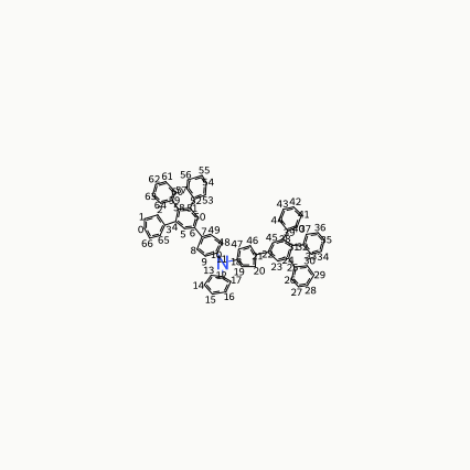 c1ccc(-c2cc(-c3ccc(N(c4ccccc4)c4ccc(-c5cc(-c6ccccc6)c(-c6ccccc6)c(-c6ccccc6)c5)cc4)cc3)cc(-c3ccccc3)c2-c2ccccc2)cc1